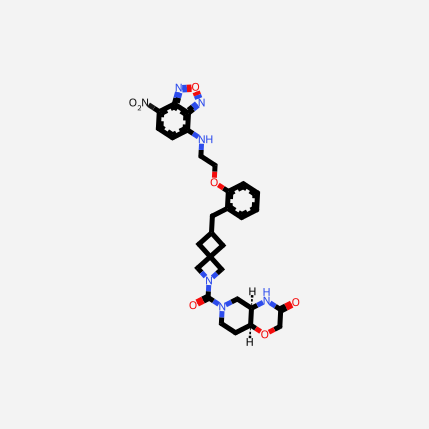 O=C1CO[C@H]2CCN(C(=O)N3CC4(CC(Cc5ccccc5OCCNc5ccc([N+](=O)[O-])c6nonc56)C4)C3)C[C@H]2N1